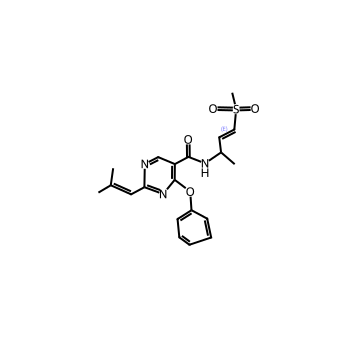 CC(C)=Cc1ncc(C(=O)NC(C)/C=C/S(C)(=O)=O)c(Oc2ccccc2)n1